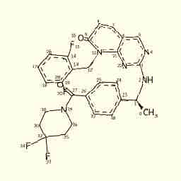 C[C@H](Nc1ncc2ccc(=O)n(Cc3c(F)cccc3F)c2n1)c1ccc(C(=O)N2CCC(F)(F)CC2)cc1